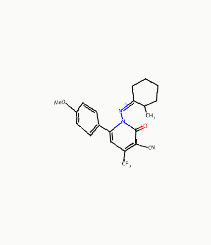 COc1ccc(-c2cc(C(F)(F)F)c(C#N)c(=O)n2/N=C2/CCCCC2C)cc1